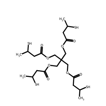 CC(S)CC(=O)OCC(COC(=O)CC(C)S)(COC(=O)CC(C)S)COC(=O)CC(C)S